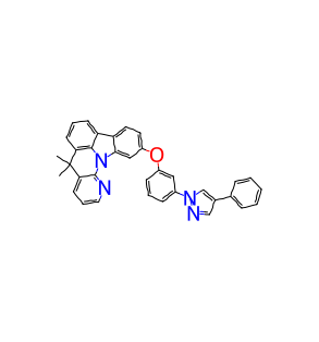 CC1(C)c2cccnc2-n2c3cc(Oc4cccc(-n5cc(-c6ccccc6)cn5)c4)ccc3c3cccc1c32